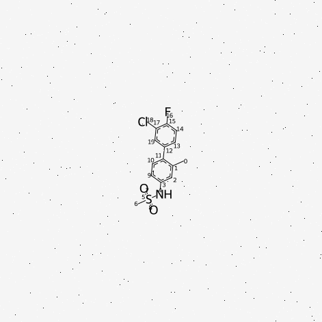 Cc1cc(NS(C)(=O)=O)ccc1-c1ccc(F)c(Cl)c1